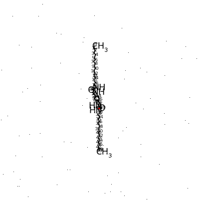 CCCCCCCCCCCCCCCCCCNC(=O)NCc1ccc(CNC(=O)NCCCCCCCCCCCCCCCCCC)cc1